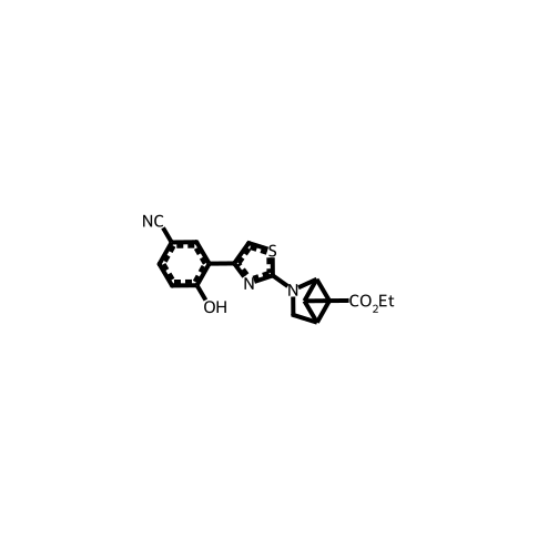 CCOC(=O)C12C3CN(c4nc(-c5cc(C#N)ccc5O)cs4)C1C32